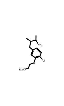 COCCOc1cc(CC(C)C(C)N)ccc1Cl